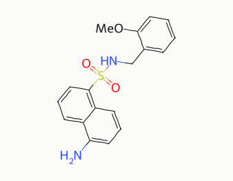 COc1ccccc1CNS(=O)(=O)c1cccc2c(N)cccc12